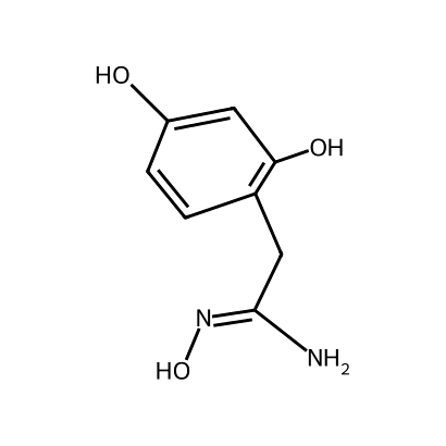 NC(Cc1ccc(O)cc1O)=NO